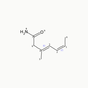 C/C=C\C=C(/C)CC(N)=O